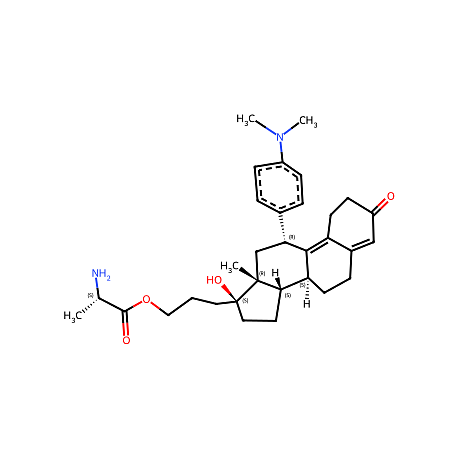 C[C@H](N)C(=O)OCCC[C@@]1(O)CC[C@H]2[C@@H]3CCC4=CC(=O)CCC4=C3[C@@H](c3ccc(N(C)C)cc3)C[C@]21C